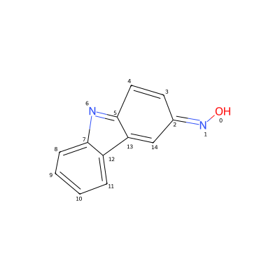 O/N=C1\C=CC2=Nc3ccccc3C2=C1